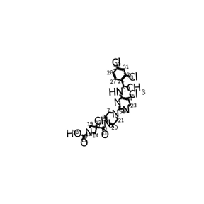 C[C@@H](Nc1nc(N2CCN(C(=O)C3(C)CN(C(=O)O)C3)CC2)ncc1Cl)c1ccc(Cl)cc1Cl